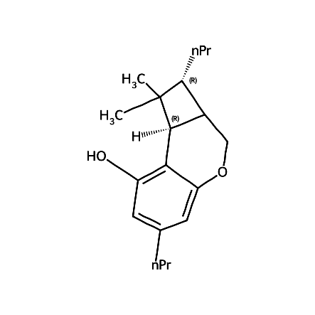 CCCc1cc(O)c2c(c1)OCC1[C@@H](CCC)C(C)(C)[C@H]21